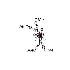 COCCOCCOCCN(CCOCCOCCOC)c1cc(C(c2ccccc2)c2ccccc2)c(N2C=CN(c3c(C(c4ccccc4)c4ccccc4)cc(N(CCOCCOCCOC)CCOCCOCCOC)cc3C(c3ccccc3)c3ccccc3)C2)c(C(c2ccccc2)c2ccccc2)c1